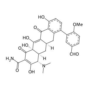 COc1ccc(C=O)cc1-c1ccc(O)c2c1C[C@H]1C[C@H]3[C@H](N(C)C)C(O)=C(C(N)=O)C(=O)[C@@]3(O)C(O)=C1C2=O